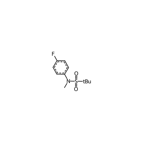 CN(c1ccc(F)cc1)S(=O)(=O)C(C)(C)C